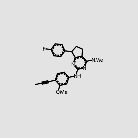 CC#Cc1ccc(Nc2nc(NC)c3c(n2)C(c2ccc(F)cc2)CC3)cc1OC